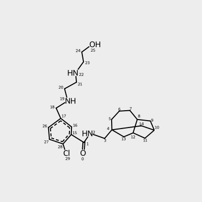 O=C(NCC12CCCC3CC(CC3C1)C2)c1cc(CNCCNCCO)ccc1Cl